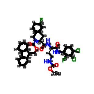 CC(C)(C)OC(=O)NCC[C@H](NC(=O)[C@@H]1Cc2cc(F)ccc2CN1C(=O)OCC1c2ccccc2-c2ccccc21)C(=O)Nc1ccc(Cl)c(Cl)c1F